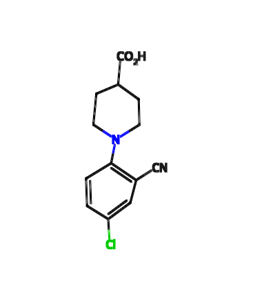 N#Cc1cc(Cl)ccc1N1CCC(C(=O)O)CC1